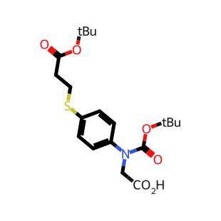 CC(C)(C)OC(=O)CCSc1ccc(N(CC(=O)O)C(=O)OC(C)(C)C)cc1